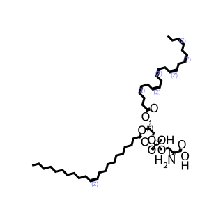 CC/C=C\C/C=C\C/C=C\C/C=C\C/C=C\C/C=C\CCC(=O)OC[C@H](COP(=O)(O)OC[C@H](N)C(=O)O)OC(=O)CCCCCCCCC/C=C\CCCCCCCCCC